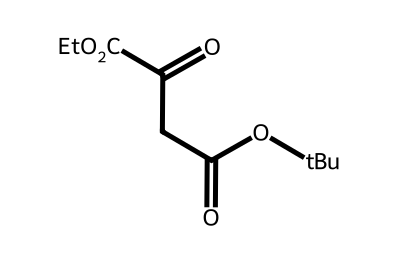 CCOC(=O)C(=O)CC(=O)OC(C)(C)C